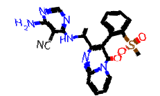 CC(Nc1ncnc(N)c1C#N)c1nc2ccccn2c(=O)c1-c1ccccc1S(C)(=O)=O